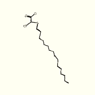 CCCCCCCCCCCCCCCCSC(Cl)C(=O)Cl